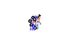 Cc1cc(N[S+]([O-])C2CC2)c2ccccc2c1Oc1ncccc1-c1ccnc(NC2CNCC(F)C2)n1